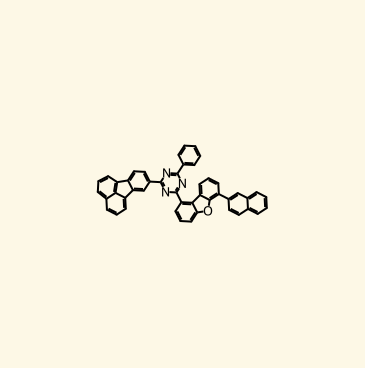 c1ccc(-c2nc(-c3ccc4c(c3)-c3cccc5cccc-4c35)nc(-c3cccc4oc5c(-c6ccc7ccccc7c6)cccc5c34)n2)cc1